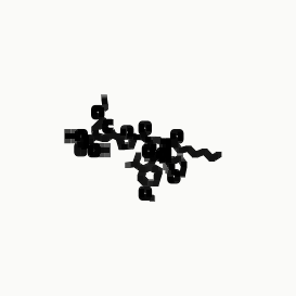 CCCCCC(C(=O)NCNC(=O)c1ccc(-c2cc(OCC)cc(P(=O)(O)O)c2)o1)[C@@H](CC)N(C=O)OC(=O)c1ccc(OC)cc1C(C)C